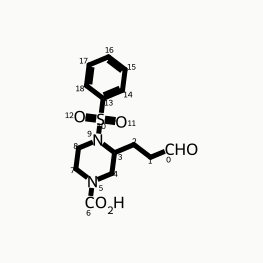 O=CCCC1CN(C(=O)O)CCN1S(=O)(=O)c1ccccc1